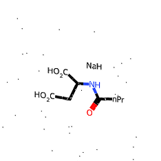 CCCC(=O)NC(CC(=O)O)C(=O)O.[NaH]